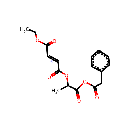 CCOC(=O)/C=C/C(=O)OC(C)C(=O)OC(=O)Cc1ccccc1